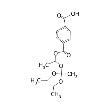 CCOC(C)(OCC)OC(C)OC(=O)c1ccc(C(=O)O)cc1